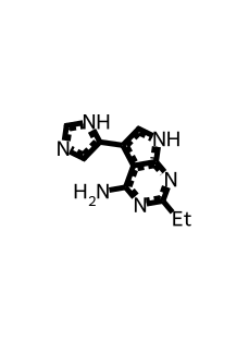 CCc1nc(N)c2c(-c3cnc[nH]3)c[nH]c2n1